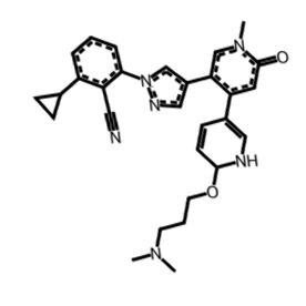 CN(C)CCCOC1C=CC(c2cc(=O)n(C)cc2-c2cnn(-c3cccc(C4CC4)c3C#N)c2)=CN1